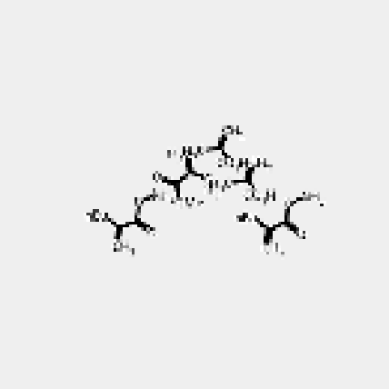 C=C(C)C(=O)O.C=C(C)C(=O)O.C=C(C)C(=O)OC.C=C(CCCC)C(=O)ON.C=C(CCCC)C(=O)ON